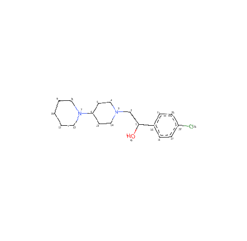 OC(CN1CCC(N2CCCCC2)CC1)c1ccc(Cl)cc1